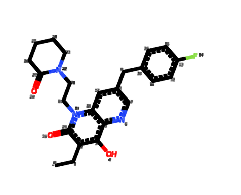 [CH2]Cc1c(O)c2ncc(Cc3ccc(F)cc3)cc2n(CCN2CCCCC2=O)c1=O